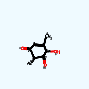 CC(=O)C1C(=O)C=C(C)C(O)C1=O